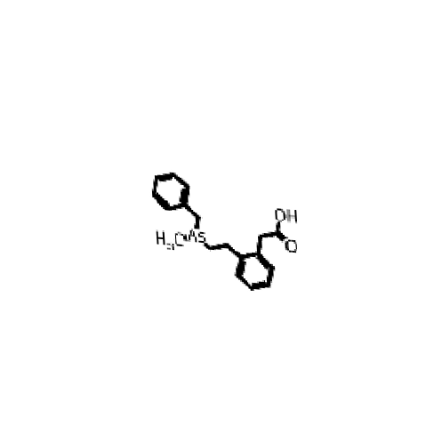 C[As](CCc1ccccc1CC(=O)O)Cc1ccccc1